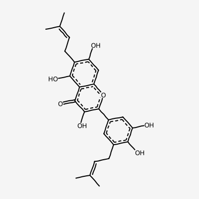 CC(C)=CCc1cc(-c2oc3cc(O)c(CC=C(C)C)c(O)c3c(=O)c2O)cc(O)c1O